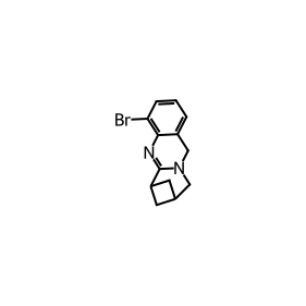 Brc1cccc2c1N=C1C3CC(C3)CN1C2